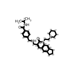 CC(C)NC(=O)c1ccc(CNCc2cc3cc4c(cc3n(CCN3CCCCC3)c2=O)CCC4)cc1